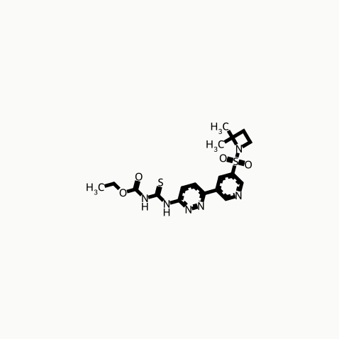 CCOC(=O)NC(=S)Nc1ccc(-c2cncc(S(=O)(=O)N3CCC3(C)C)c2)nn1